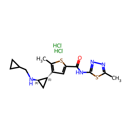 Cc1nnc(NC(=O)c2cc([C@@H]3C[C@H]3NCC3CC3)c(C)s2)s1.Cl.Cl